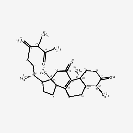 C=C(CC[C@@H](C)C1CCC2C3=C(C(=O)C[C@@]21C)[C@@]1(C)CCC(=O)[C@@H](C)C1CC3)C(C)C(C)=O